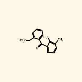 Cc1cccc(C(=O)c2ccccc2CC(=O)O)c1C